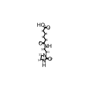 O=C(O)CCCCC(=O)NCCN1CCNC1=O